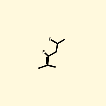 CC(C)=C(F)CC(C)F